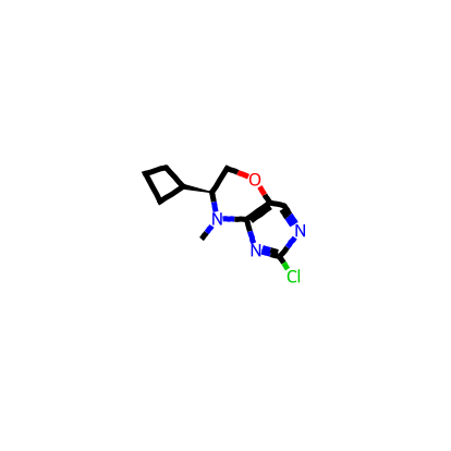 CN1c2nc(Cl)ncc2OC[C@@H]1C1CCC1